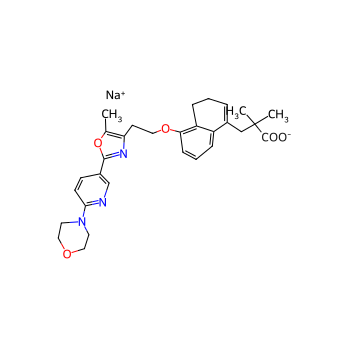 Cc1oc(-c2ccc(N3CCOCC3)nc2)nc1CCOc1cccc2c1CCC=C2CC(C)(C)C(=O)[O-].[Na+]